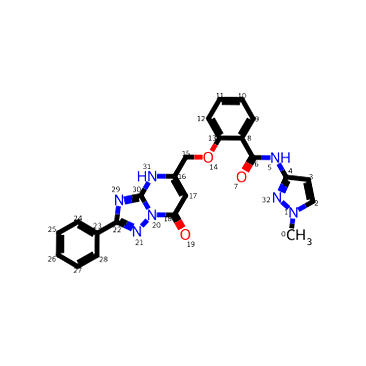 Cn1ccc(NC(=O)c2ccccc2OCc2cc(=O)n3nc(-c4ccccc4)nc3[nH]2)n1